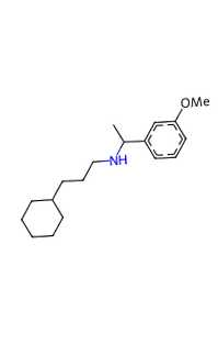 COc1cccc(C(C)NCCCC2CCCCC2)c1